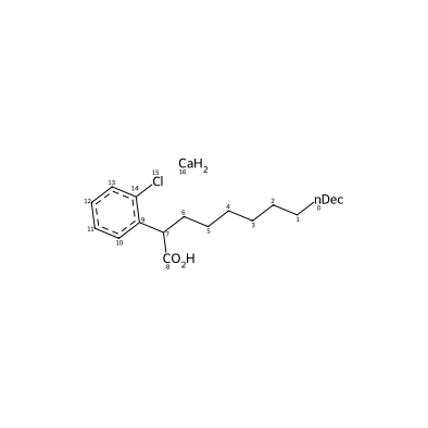 CCCCCCCCCCCCCCCCC(C(=O)O)c1ccccc1Cl.[CaH2]